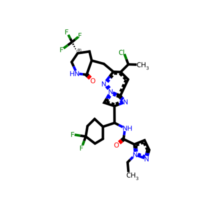 CCn1nccc1C(=O)NC(c1cn2nc(CC3C[C@@H](C(F)(F)F)CNC3=O)c(C(C)Cl)cc2n1)C1CCC(F)(F)CC1